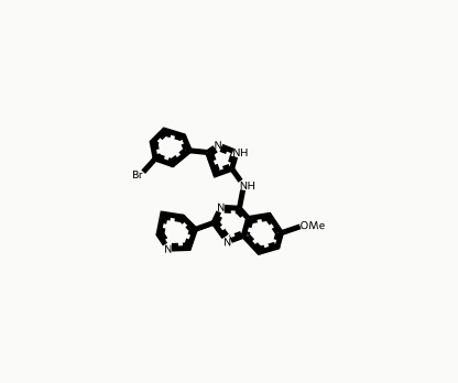 COc1ccc2nc(-c3cccnc3)nc(Nc3cc(-c4cccc(Br)c4)n[nH]3)c2c1